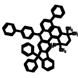 CC1(C)CCC(C)(C)c2c(-c3cc4c(cc3N(c3ccc(-c5ccccc5)cc3)c3ccc(-c5ccccc5)cc3)C(c3ccccc3)(c3ccccc3)c3ccccc3-4)cccc21